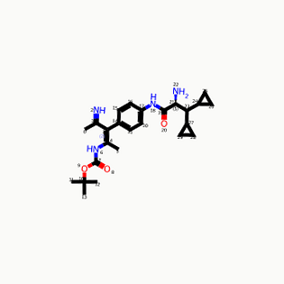 CC(=N)/C(=C(/C)NC(=O)OC(C)(C)C)c1ccc(NC(=O)[C@@H](N)C(C2CC2)C2CC2)cc1